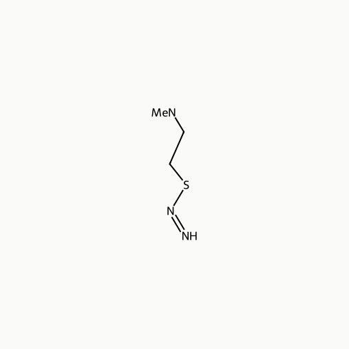 CNCCSN=N